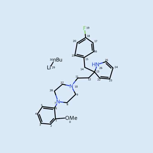 COc1ccccc1N1CCN(CCC2(Cc3ccc(F)cc3)C=CC=CN2)CC1.[Li][CH2]CCC